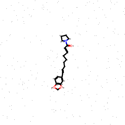 O=C(/C=C/CCCC/C=C/c1ccc2c(c1)OCO2)N1CCCC1